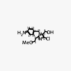 COCCc1nc(Cl)c(CO)n1Cc1ccc(N)cc1